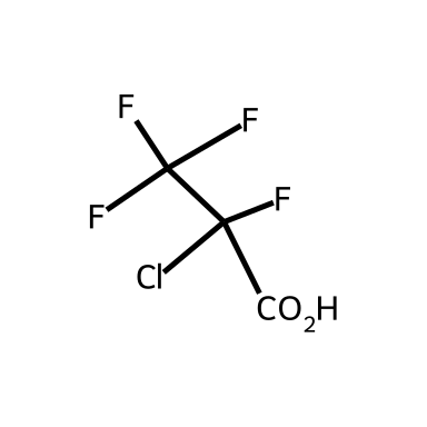 O=C(O)C(F)(Cl)C(F)(F)F